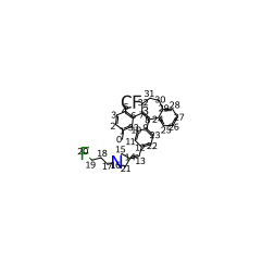 Cc1ccc(C(F)(F)F)c(C2=C(c3ccc(C=C4CN(CCCF)C4)cc3)c3ccccc3CCC2)c1